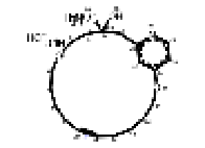 Cl.Cl.N[C@H]1COCCCC/C=C\CCCCOc2ccnc(c2)C[C@]1(O)C(=O)O